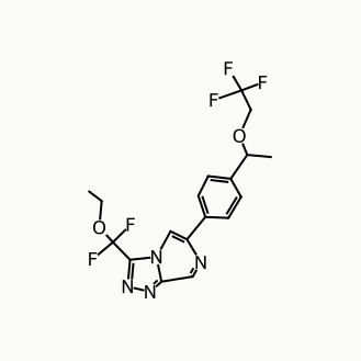 CCOC(F)(F)c1nnc2cnc(-c3ccc(C(C)OCC(F)(F)F)cc3)cn12